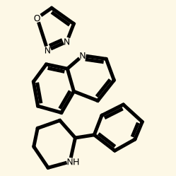 c1ccc(C2CCCCN2)cc1.c1ccc2ncccc2c1.c1conn1